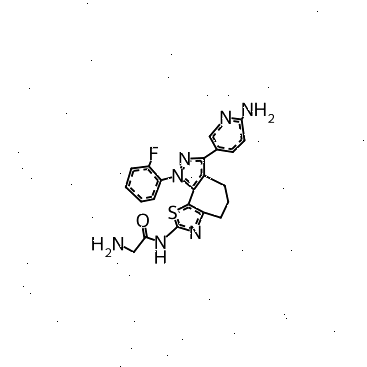 NCC(=O)Nc1nc2c(s1)-c1c(c(-c3ccc(N)nc3)nn1-c1ccccc1F)CCC2